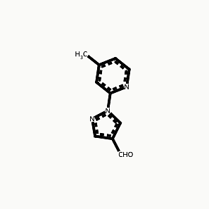 Cc1ccnc(-n2cc(C=O)cn2)c1